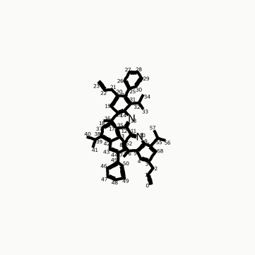 C=CCc1cc(C(C)C)c(N=C2C(=Nc3c(C(C)C)cc(CC=C)c(-c4ccccc4)c3C(C)C)c3ccc(C(C)C)c4cc(-c5ccccc5)cc2c34)c(C(C)C)c1